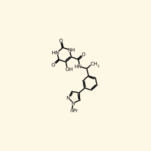 CCCn1cc(-c2cccc(C(C)NC(=O)c3[nH]c(=O)[nH]c(=O)c3O)c2)cn1